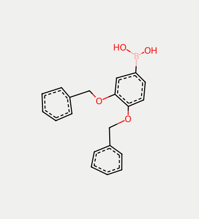 OB(O)c1ccc(OCc2ccccc2)c(OCc2ccccc2)c1